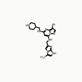 Cc1c[nH]c2nc(CNc3cc(NCC4CCNCC4)nc4c(C(C)C)cnn34)cn12